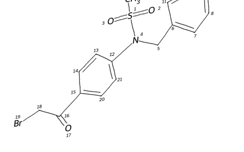 CS(=O)(=O)N(Cc1ccccc1)c1ccc(C(=O)CBr)cc1